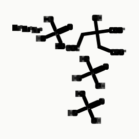 O=C([O-])CC(O)(CC(=O)[O-])C(=O)[O-].O=P(O)(O)O.O=P(O)(O)O.O=P(O)(O)O.[Na+].[Na+].[Na+]